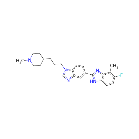 Cc1c(F)ccc2[nH]c(-c3ccc4c(c3)ncn4CCCC3CCN(C)CC3)nc12